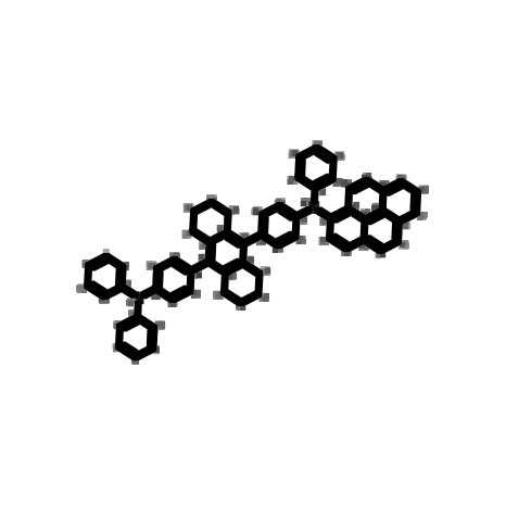 c1ccc(N(c2ccccc2)c2ccc(-c3c4c(c(-c5ccc(N(c6ccccc6)c6ccc7ccc8cccc9ccc6c7c89)cc5)c5c3CCCC5)CCCC4)cc2)cc1